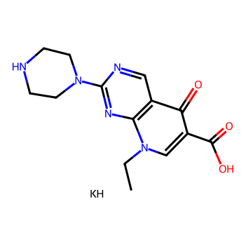 CCn1cc(C(=O)O)c(=O)c2cnc(N3CCNCC3)nc21.[KH]